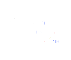 Cc1nc(-c2ccc(Cl)cc2)[nH]c1S(N)(=O)=O